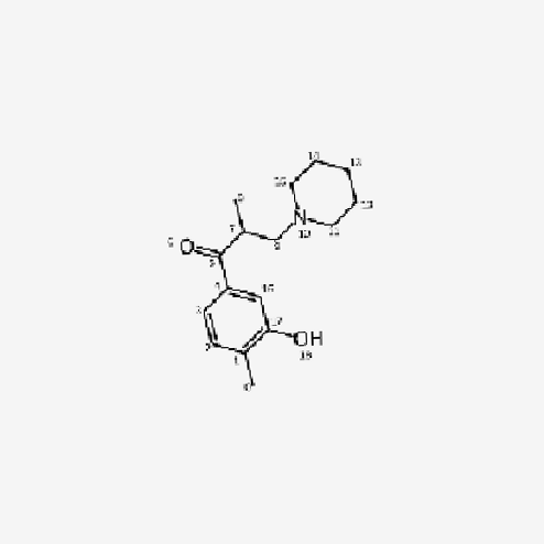 Cc1ccc(C(=O)C(C)CN2CCCCC2)cc1O